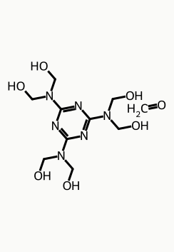 C=O.OCN(CO)c1nc(N(CO)CO)nc(N(CO)CO)n1